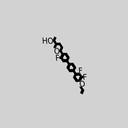 C=CCOc1ccc(-c2ccc(-c3ccc(C4CCC(C(C)O)CO4)c(F)c3)cc2)c(F)c1F